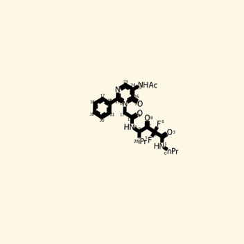 CCCNC(=O)C(F)(F)C(=O)C(NC(=O)Cn1c(-c2ccccc2)ncc(NC(C)=O)c1=O)C(C)C